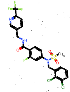 CS(=O)(=O)N(Cc1cccc(Cl)c1Cl)c1ccc(C(=O)NCc2ccc(C(F)(F)F)nc2)c(F)c1